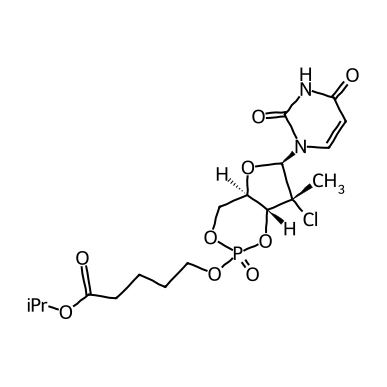 CC(C)OC(=O)CCCCOP1(=O)OC[C@H]2O[C@@H](n3ccc(=O)[nH]c3=O)[C@](C)(Cl)[C@@H]2O1